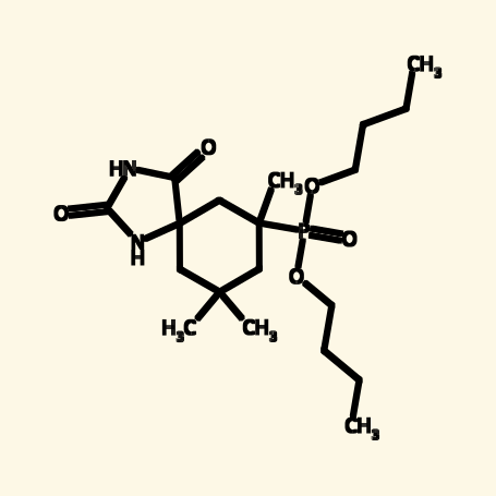 CCCCOP(=O)(OCCCC)C1(C)CC(C)(C)CC2(C1)NC(=O)NC2=O